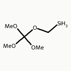 COC(OC)(OC)OC[SiH3]